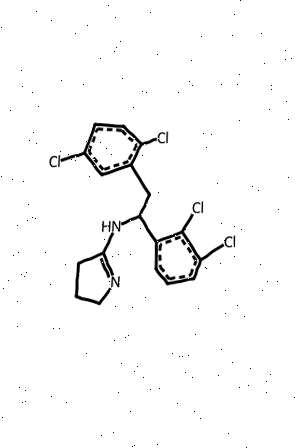 Clc1ccc(Cl)c(CC(NC2=NCCC2)c2cccc(Cl)c2Cl)c1